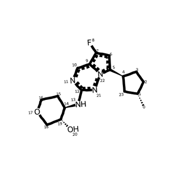 C[C@H]1CC[C@H](c2cc(F)c3cnc(N[C@@H]4CCOC[C@H]4O)nn23)C1